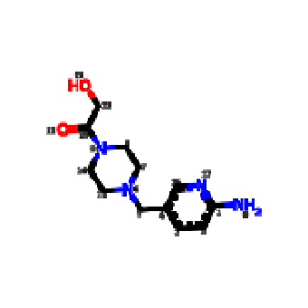 Nc1ccc(CN2CCN(C(=O)CO)CC2)cn1